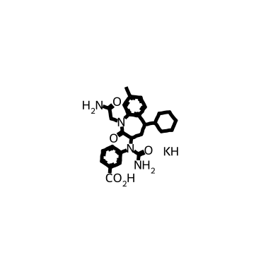 Cc1ccc2c(c1)N(CC(N)=O)C(=O)C(N(C(N)=O)c1cccc(C(=O)O)c1)CC2C1CCCCC1.[KH]